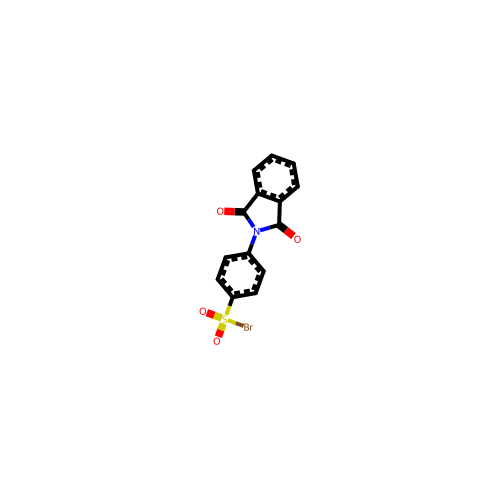 O=C1c2ccccc2C(=O)N1c1ccc(S(=O)(=O)Br)cc1